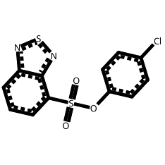 O=S(=O)(Oc1ccc(Cl)cc1)c1cccc2nsnc12